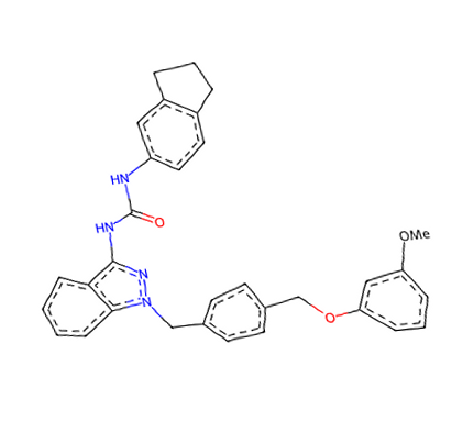 COc1cccc(OCc2ccc(Cn3nc(NC(=O)Nc4ccc5c(c4)CCC5)c4ccccc43)cc2)c1